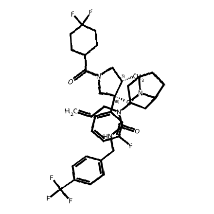 C=CCN(C(=O)NCc1ccc(C(F)(F)F)cc1)C1CC2CCC(C1)N2O[C@]1(c2cccc(F)c2)CN(C(=O)C2CCC(F)(F)CC2)C[C@@H]1C